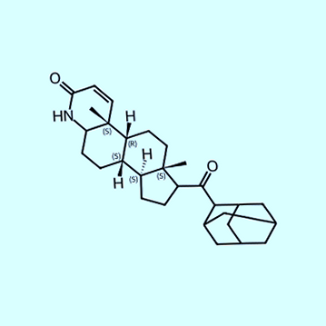 C[C@]12C=CC(=O)NC1CC[C@@H]1[C@H]2CC[C@]2(C)C(C(=O)C3C4CC5CC(C4)CC3C5)CC[C@@H]12